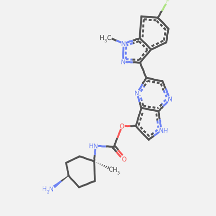 Cn1nc(-c2cnc3[nH]cc(OC(=O)N[C@]4(C)CC[C@H](N)CC4)c3n2)c2ccc(F)cc21